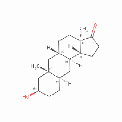 C[C@]12C[C@H](O)CC[C@@H]1C[C@H]1[C@@H](CC[C@@]3(C)C(=O)CC[C@H]13)C2